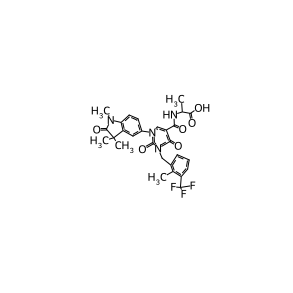 Cc1c(Cn2c(=O)c(C(=O)NC(C)C(=O)O)cn(-c3ccc4c(c3)C(C)(C)C(=O)N4C)c2=O)cccc1C(F)(F)F